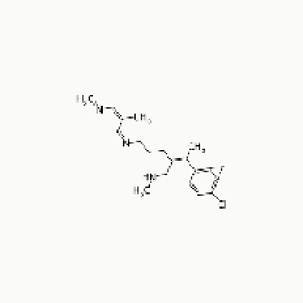 C=N/C=C(C)\C=N/CCC/C(CNC)=C(\C)c1ccc(Cl)c2c1C2